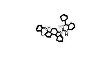 Clc1ccccc1NC1=CC=CC2C1CCC1C2C2CC=CC=C2N1C1NC2C=CCCC2C(C2CC=CCC2)N1